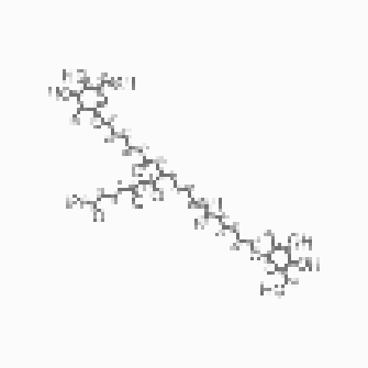 CC(C)C(=O)CCCC(=O)CC(=O)C(CCCCNC(=O)CCCCCOC1OC(CO)C(O)C(O)C1C)CC(=O)CCCCCOC1OC(CO)C(O)C(O)C1C